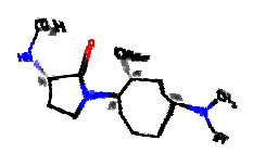 CO[C@@H]1C[C@@H](N(C)C(C)C)CC[C@H]1N1CC[C@H](NC(=O)O)C1=O